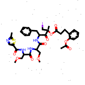 COCC(NC(=O)c1cnc(C)s1)C(=O)NC(COC)C(=O)NC(Cc1ccccc1)C(=O)C(C)(CI)OC(=O)CCc1ccccc1OC(C)=O